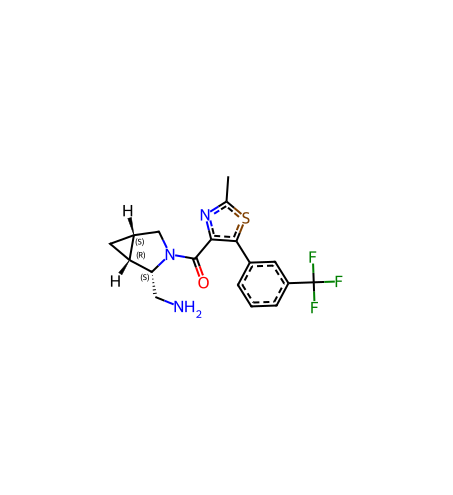 Cc1nc(C(=O)N2C[C@H]3C[C@H]3[C@H]2CN)c(-c2cccc(C(F)(F)F)c2)s1